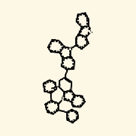 C[C@H]1CC(c2ccc3c(c2)c2ccccc2n3-c2ccc3sc4ccccc4c3c2)=Cc2c1n(-c1c(-c3ccccc3)cccc1-c1ccccc1)c1ccccc21